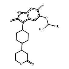 CC(C)Oc1cc2c(cc1Cl)[nH]c(=O)n2C1CCN(C2CCOC(=O)C2)CC1